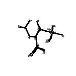 CC(=O)C(CC(C)C)C(C)[N+](C)(C)C